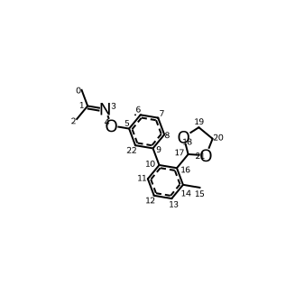 CC(C)=NOc1[c]ccc(-c2cccc(C)c2C2OCCO2)c1